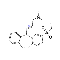 CCS(=O)(=O)c1ccc2c(c1)C(/C=C/CN(C)C)c1ccccc1CC2